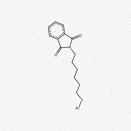 CC(=O)SCCCCCCN1C(=O)c2ccccc2C1=O